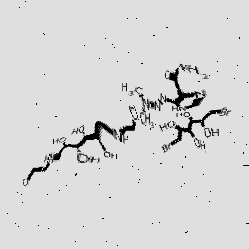 CN(C)/N=N/c1[nH]cnc1C(N)=O.OC(CBr)C(O)C(O)C(O)CBr.O[C@@H]([C@H](O)[C@H](O)CNCCCl)[C@H](O)CNCCCl